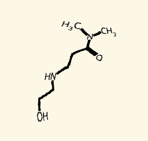 CN(C)C(=O)CCNCCO